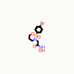 O=C(CN1CCCOP1(=O)c1ccc(Br)cc1)NO